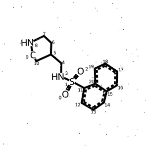 O=S(=O)(NCC1CCNCC1)c1cccc2ccccc12